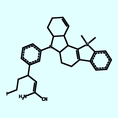 C[Si]1(C)C2=C(CCC3C2C2C=CCCC2N3c2cccc(C(/C=C(\N)C#N)CCI)c2)c2ccccc21